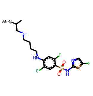 CNC(C)CNCCCCNc1cc(F)c(S(=O)(=O)Nc2ncc(F)s2)cc1Cl